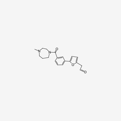 CN1CCCN(C(=O)c2cccc(-c3ccc(CC=O)o3)c2)CC1